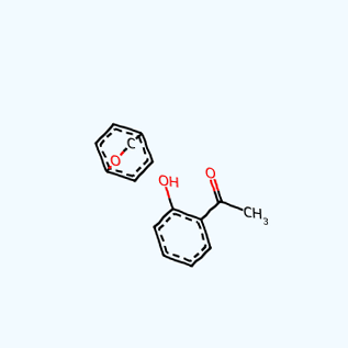 CC(=O)c1ccccc1O.c1cc2ccc1CO2